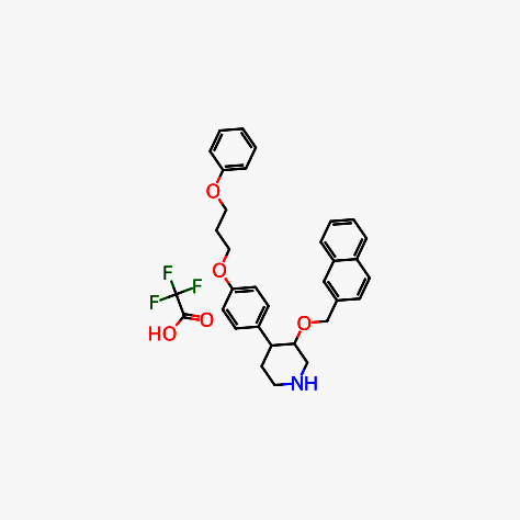 O=C(O)C(F)(F)F.c1ccc(OCCCOc2ccc(C3CCNCC3OCc3ccc4ccccc4c3)cc2)cc1